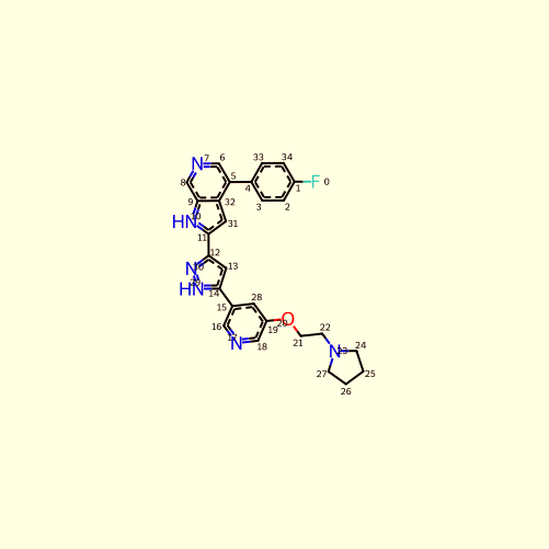 Fc1ccc(-c2cncc3[nH]c(-c4cc(-c5cncc(OCCN6CCCC6)c5)[nH]n4)cc23)cc1